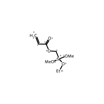 C=CC(=O)OC[Si](OC)(OC)OCC